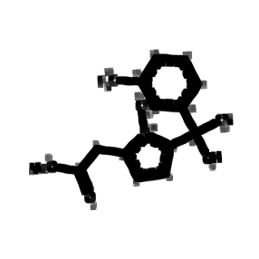 COC(=O)Cc1ccc(C(O)(C#N)c2cccc(C(F)(F)F)c2)n1C